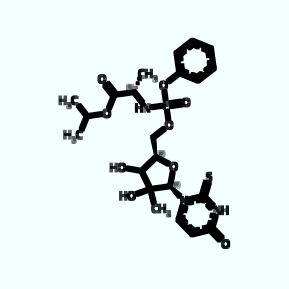 CC(C)OC(=O)[C@H](C)NP(=O)(OC[C@H]1O[C@@H](n2ccc(=O)[nH]c2=S)C(C)(O)C1O)Oc1ccccc1